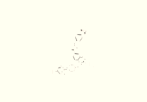 CCS(=O)(=O)c1ccc(CNC(=O)c2ccc3c(c2)nc(C(F)(F)F)n3CC2CCN(c3ncc(F)cn3)CC2)cc1